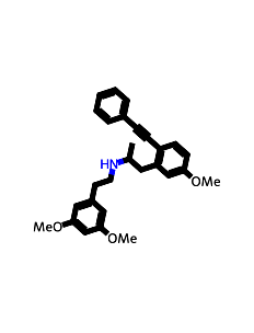 COc1cc(CCNC(C)Cc2cc(OC)ccc2C#Cc2ccccc2)cc(OC)c1